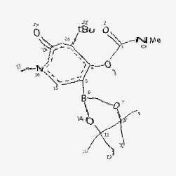 CNC(=O)Oc1c(B2OC(C)(C)C(C)(C)O2)cn(C)c(=O)c1C(C)(C)C